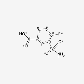 NS(=O)(=O)c1cc(C(=O)O)ccc1F